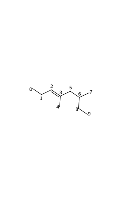 CC/C=C(\C)CC(C)CC